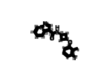 Cc1c(F)cccc1O[C@H]1C[C@H](NC(=O)c2cnn3ccccc23)C1